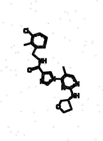 Cc1cnc(N[C@H]2CCOC2)nc1-n1cnc(C(=O)NCc2cccc(Cl)c2C)c1